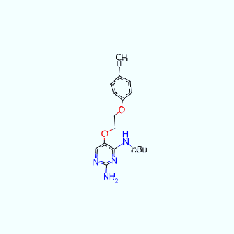 C#Cc1ccc(OCCOc2cnc(N)nc2NCCCC)cc1